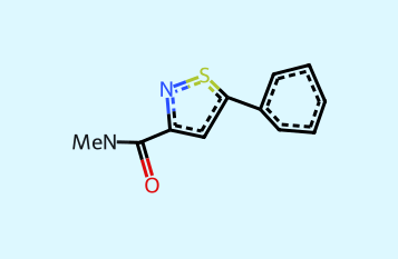 CNC(=O)c1cc(-c2ccccc2)sn1